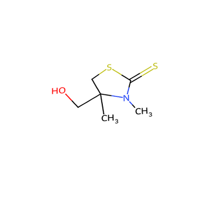 CN1C(=S)SCC1(C)CO